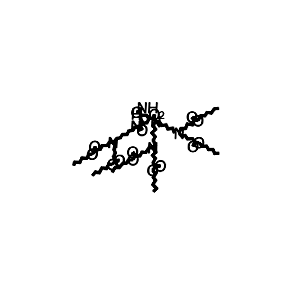 CCCCCCOC(=O)CCCCN(CCCCCCNC(=O)C1CC(C(N)=O)CC(C(=O)N(CCCCCCN(CCCCC(=O)OCCCCCC)CCCCC(=O)OCCCCCC)CCCCCCN(CCCCC(=O)OCCCCCC)CCCCC(=O)OCCCCCC)C1)CCCCC(=O)OCCCCCC